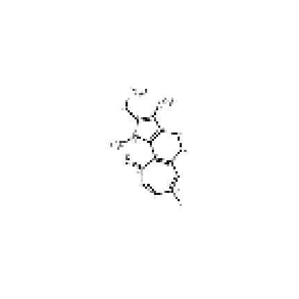 CCOC(=O)Cc1c(C(=O)O)c2c(n1C)-c1c(cc(Cl)ccc1=O)CC2